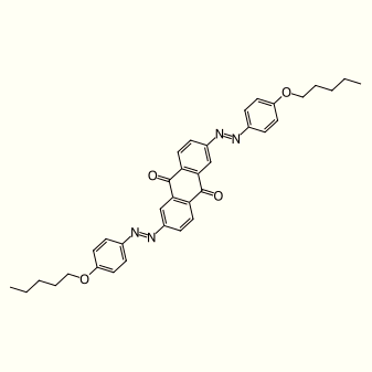 CCCCCOc1ccc(N=Nc2ccc3c(c2)C(=O)c2ccc(N=Nc4ccc(OCCCCC)cc4)cc2C3=O)cc1